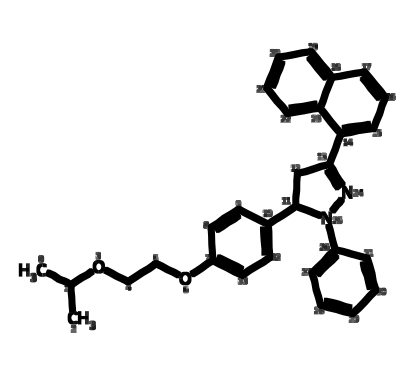 CC(C)OCCOc1ccc(C2CC(c3cccc4ccccc34)=NN2c2ccccc2)cc1